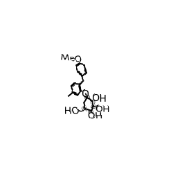 COc1ccc(Cc2ccc(C)cc2O[C@@H]2C[C@H](CO)[C@@H](O)[C@H](O)[C@H]2O)cc1